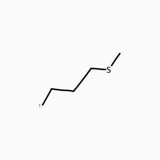 [CH]CCCSC